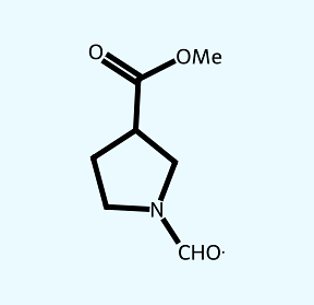 COC(=O)C1CCN([C]=O)C1